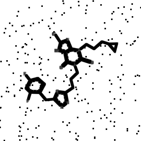 O=c1c2[nH]c(Cl)nc2n(CCCC2CC2)c(=O)n1CCCc1nnc(Cc2ccc(F)cc2F)o1